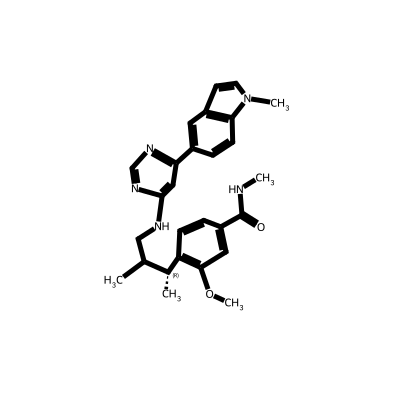 CNC(=O)c1ccc([C@H](C)C(C)CNc2cc(-c3ccc4c(ccn4C)c3)ncn2)c(OC)c1